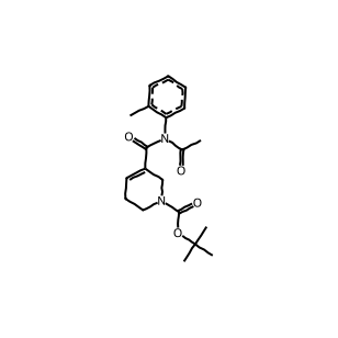 CC(=O)N(C(=O)C1=CCCN(C(=O)OC(C)(C)C)C1)c1ccccc1C